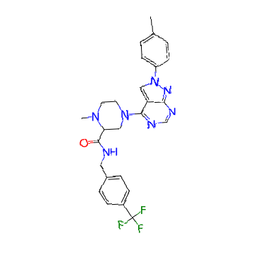 Cc1ccc(-n2cc3c(N4CCN(C)C(C(=O)NCc5ccc(C(F)(F)F)cc5)C4)ncnc3n2)cc1